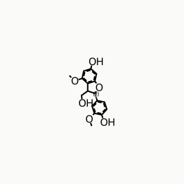 COc1cc([C@@H]2Oc3cc(O)cc(OC)c3C2CO)ccc1O